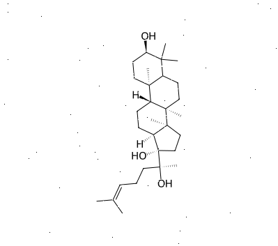 CC(C)=CCC[C@](C)(O)[C@]1(O)CC[C@@]2(C)[C@@H]1CC[C@@H]1[C@@]3(C)CC[C@@H](O)C(C)(C)C3CC[C@]12C